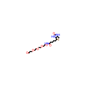 O=CCCOCCOCCOCCONC(=O)CCCCC1SCC2NC(=O)NC21